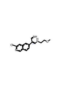 COCCN/C=C(\C=N)c1ccc2cnc(Cl)cc2c1